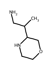 CC(CN)C1COCCN1